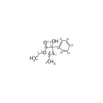 CCOC(=O)C(O)(SSC)c1ccccc1